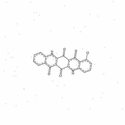 O=C1c2[nH]c3cccc(Cl)c3c(=O)c2C(=O)c2[nH]c3ccccc3c(=O)c21